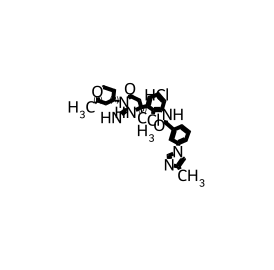 Cc1cn(-c2cccc(C(=O)Nc3cccc([C@]4(C)CC(=O)N([C@@H]5CCO[C@H](C)C5)C(=N)N4)c3Cl)c2)cn1.Cl